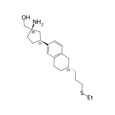 CCSCCC[C@@H]1CCc2cc([C@H]3CC[C@](N)(CO)C3)ccc2C1